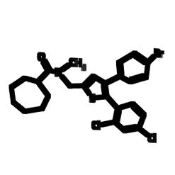 CN(Cc1cc(-c2ccc(Br)cc2)c(-c2ccc(Cl)cc2Cl)s1)C(=O)C1CCCCCC1